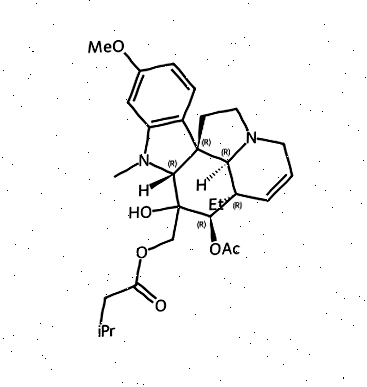 CC[C@]12C=CCN3CC[C@@]4(c5ccc(OC)cc5N(C)[C@H]4C(O)(COC(=O)CC(C)C)[C@@H]1OC(C)=O)[C@@H]32